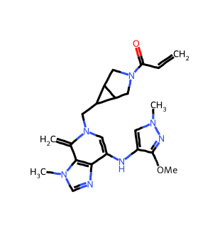 C=CC(=O)N1CC2C(CN3C=C(Nc4cn(C)nc4OC)c4ncn(C)c4C3=C)C2C1